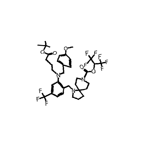 COc1ccc(CN(CCCC(=O)OC(C)(C)C)c2cc(C(F)(F)F)ccc2CN2CCCC23CCN(C(=O)OC(C(F)(F)F)C(F)(F)F)CC3)cc1